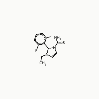 CCN1C=CN(C(N)=S)C1c1c(F)cccc1F